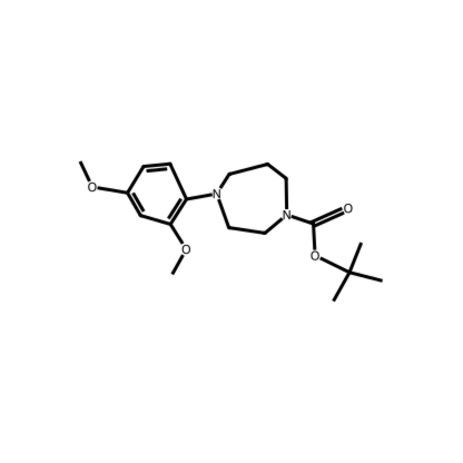 COc1ccc(N2CCCN(C(=O)OC(C)(C)C)CC2)c(OC)c1